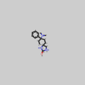 CN(C)[C@]1(c2ccccc2)CC[C@]2(CC1)CNC(=O)N2